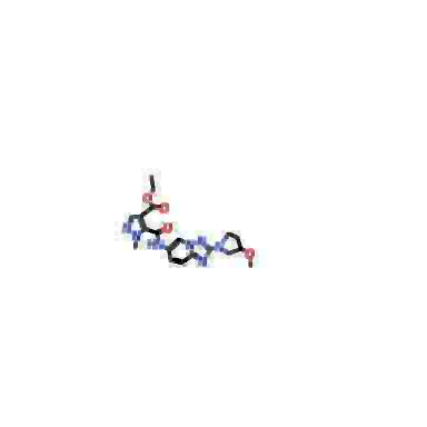 CCOC(=O)c1cnn(C)c1C(=O)Nc1ccc2nc(N3CCC(OC)C3)nn2c1